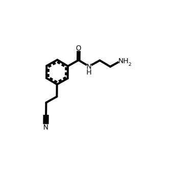 N#CCCc1cccc(C(=O)NCCN)c1